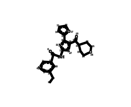 CCc1cncc(C(=O)Nc2nc(-c3ccco3)c(C(=O)C3CCOCC3)s2)c1